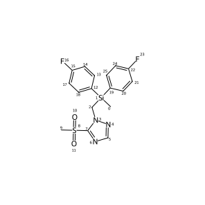 C[Si](Cn1ncnc1S(C)(=O)=O)(c1ccc(F)cc1)c1ccc(F)cc1